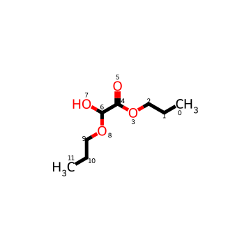 CCCOC(=O)C(O)OCCC